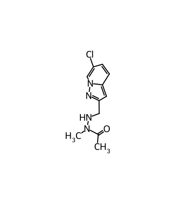 CC(=O)N(C)NCc1cc2ccc(Cl)cn2n1